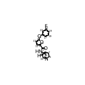 O=C(N[C@H]1CN2CCC1CC2)c1ccc(Oc2cccc(F)c2)o1